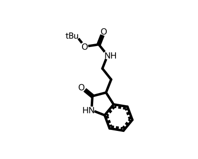 CC(C)(C)OC(=O)NCCC1C(=O)Nc2ccccc21